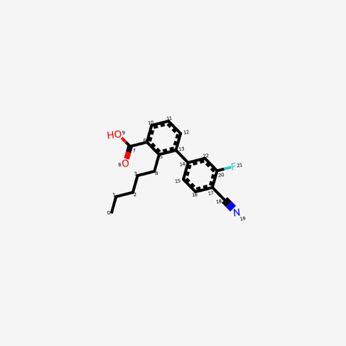 CCCCCc1c(C(=O)O)cccc1-c1ccc(C#N)c(F)c1